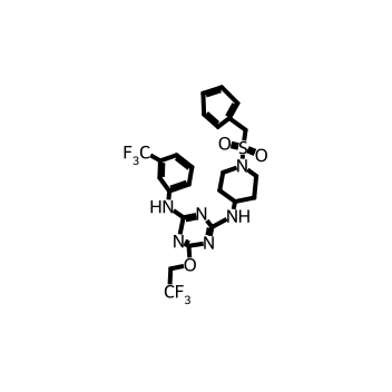 O=S(=O)(Cc1ccccc1)N1CCC(Nc2nc(Nc3cccc(C(F)(F)F)c3)nc(OCC(F)(F)F)n2)CC1